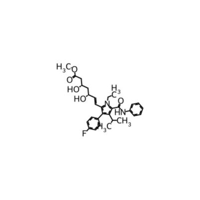 CCn1c(/C=C/[C@@H](O)C[C@@H](O)CC(=O)OC)c(-c2ccc(F)cc2)c(C(C)C)c1C(=O)Nc1ccccc1